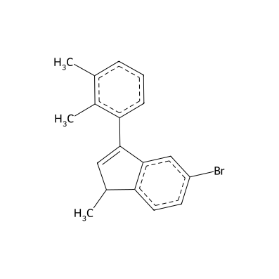 Cc1cccc(C2=CC(C)c3ccc(Br)cc32)c1C